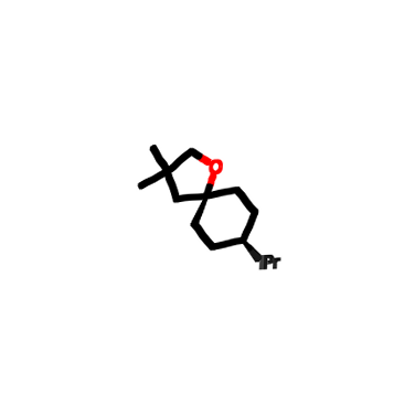 CC(C)[C@H]1CC[C@@]2(CC1)CC(C)(C)CO2